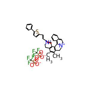 Cc1c(C)c2c(c3c1CC[n+]1ccc4ccccc4c1-3)-c1cccc(C=Cc3ccc(-c4ccccc4)s3)[n+]1CC2.O=S(=O)([O-])C(F)(F)F.O=S(=O)([O-])C(F)(F)F